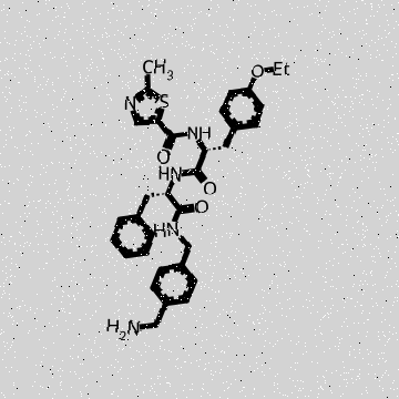 CCOc1ccc(C[C@@H](NC(=O)c2cnc(C)s2)C(=O)N[C@@H](Cc2ccccc2)C(=O)NCc2ccc(CN)cc2)cc1